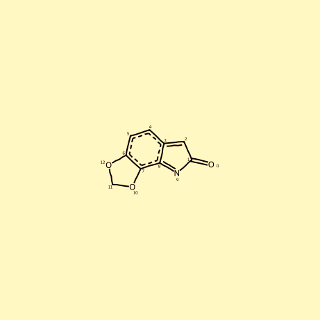 O=C1C=c2ccc3c(c2=N1)OCO3